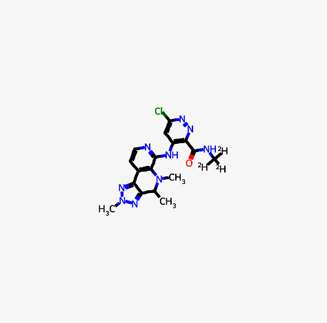 [2H]C([2H])([2H])NC(=O)c1nnc(Cl)cc1Nc1nccc2c1N(C)C(C)c1nn(C)nc1-2